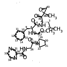 CC(C)C[C@H](NC(=O)[C@H](Cc1ccccc1)NC(=O)[C@@H]1CCCN1C(=O)CNC(=O)c1cnccn1)C(=O)[C@@]1(C)CO1